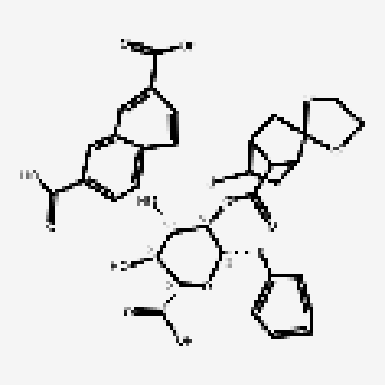 O=C(O)c1ccc2ccc(C(=O)O)cc2c1.O=C(O[C@@H]1[C@@H](O)[C@H](O)[C@@H](C(=O)O)O[C@H]1Sc1ccccc1)C1C2CC3(OCCO3)C1CC2Cl